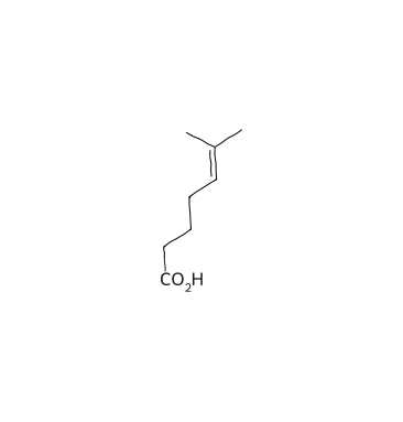 CC(C)=CCCCC(=O)O